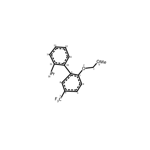 COCOc1[c]cc(C(F)(F)F)cc1-c1ccccc1C(C)C